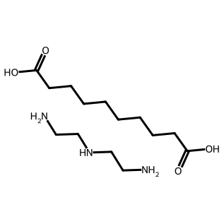 NCCNCCN.O=C(O)CCCCCCCCC(=O)O